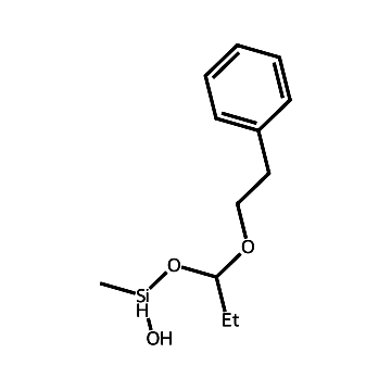 CCC(OCCc1ccccc1)O[SiH](C)O